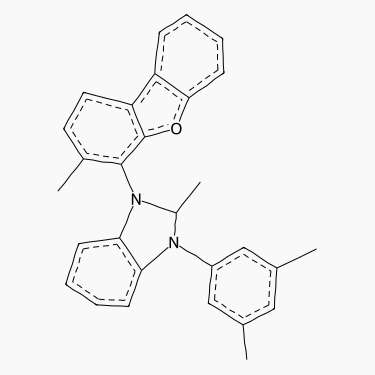 Cc1cc(C)cc(N2c3ccccc3N(c3c(C)ccc4c3oc3ccccc34)C2C)c1